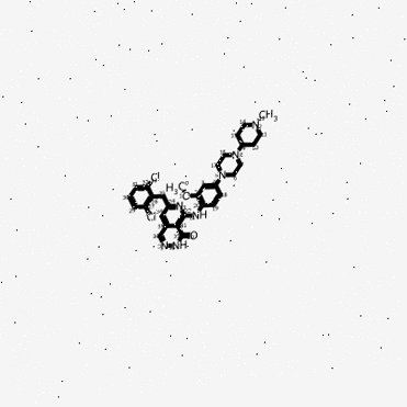 COc1cc(N2CCN(C3CCN(C)CC3)CC2)ccc1Nc1nc(Cc2c(Cl)cccc2Cl)cc2cn[nH]c(=O)c12